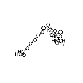 CNC(C)C(=O)NC(C(=O)N1CCC[C@H]1c1nc(C(=O)c2cccc(OCCOCCOCCOCCOCCNC(=O)O)c2)cs1)C1CCCCC1